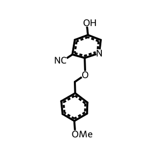 COc1ccc(COc2ncc(O)cc2C#N)cc1